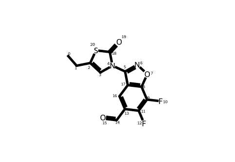 CCc1cn(-c2noc3c(F)c(F)c(C=O)cc23)c(=O)s1